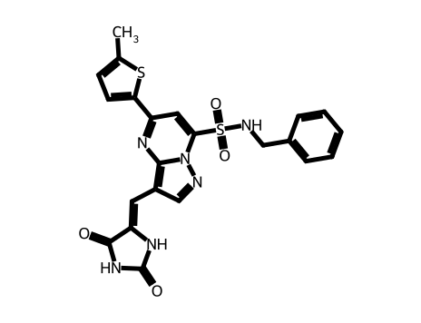 Cc1ccc(-c2cc(S(=O)(=O)NCc3ccccc3)n3ncc(C=C4NC(=O)NC4=O)c3n2)s1